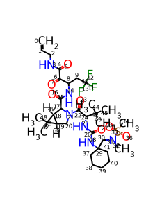 C=CCNC(=O)C(=O)C(CC(F)(F)F)NC(=O)[C@@H]1[C@@H]2[C@H](CN1C(=O)[C@@H](NC(=O)NC1(CN(C)S(C)(=O)=O)CCCCC1)C(C)(C)C)C2(C)C